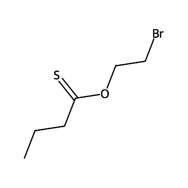 CCCC(=S)OCCBr